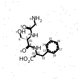 NCC(=O)N[C@@H](CO)C(=O)N[C@@H](Cc1ccccc1)C(=O)O